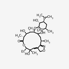 CC[C@H]1OC(=O)[C@H](C)[C@@H](O)[C@H](C)[C@@H](OC2O[C@H](C)C[C@H](N(C)C)[C@H]2O)[C@@](C)(O)C[C@@H](C)C2=NOC/C2=C\[C@]1(C)O